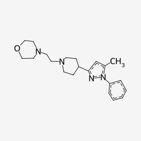 Cc1cc(C2CCN(CCN3CCOCC3)CC2)nn1-c1ccccc1